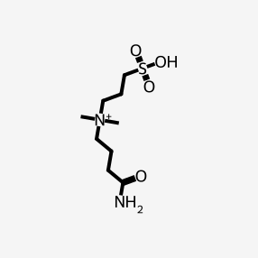 C[N+](C)(CCCC(N)=O)CCCS(=O)(=O)O